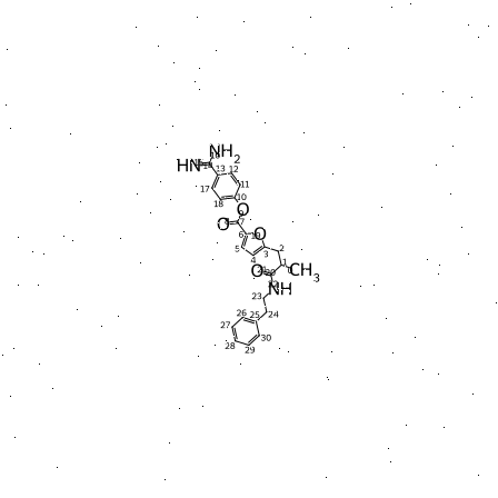 CC(Cc1ccc(C(=O)Oc2ccc(C(=N)N)cc2)o1)C(=O)NCCc1ccccc1